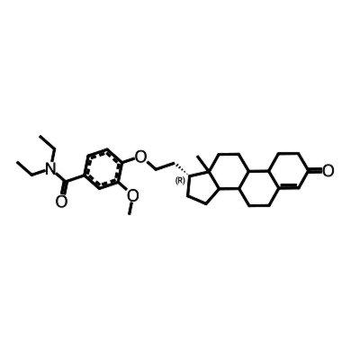 CCN(CC)C(=O)c1ccc(OCC[C@H]2CCC3C4CCC5=CC(=O)CCC5C4CCC32C)c(OC)c1